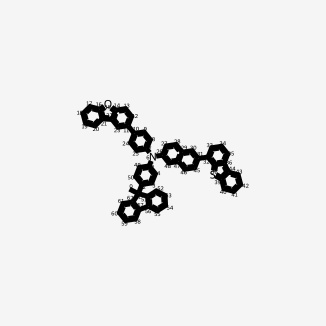 CC1(c2ccc(N(c3ccc(-c4ccc5oc6ccccc6c5c4)cc3)c3ccc4cc(-c5cccc6c5sc5ccccc56)ccc4c3)cc2)c2ccccc2-c2ccccc21